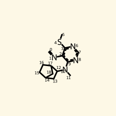 C=Nc1c(SC)ncnc1N(C)C1CC2CCC1C2